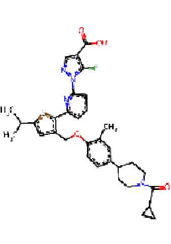 Cc1cc(C2CCN(C(=O)C3CC3)CC2)ccc1OCc1cc(C(C)C)sc1-c1cccc(-n2ncc(C(=O)O)c2F)n1